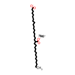 CCCCCCCCCCCCCCC(CCCCCCCCCCCCCCCCCC(=O)[O-])C(=O)[O-].[Na+].[Na+]